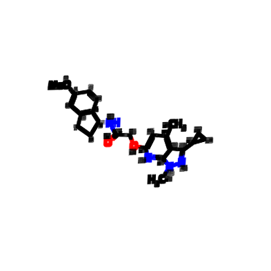 COc1ccc2c(c1)CC[C@H]2NC(=O)COc1cc(C)c2c(C3CC3)nn(C)c2n1